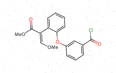 CO/C=C(/C(=O)OC)c1ccccc1Oc1cccc(C(=O)Cl)c1